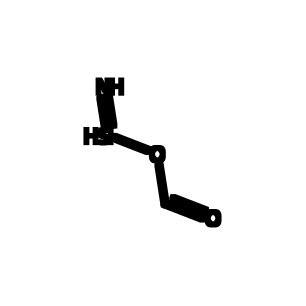 N=[SiH]OC=O